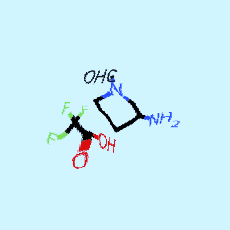 NC1CCCN(C=O)C1.O=C(O)C(F)(F)F